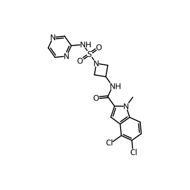 Cn1c(C(=O)NC2CN(S(=O)(=O)Nc3cnccn3)C2)cc2c(Cl)c(Cl)ccc21